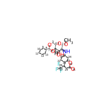 CO[C@H]1OC2COC(c3ccccc3)O[C@H]2[C@H](O)C1Nc1ccc2c(C(F)(F)F)cc(=O)oc2c1